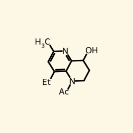 CCc1cc(C)nc2c1N(C(C)=O)CCC2O